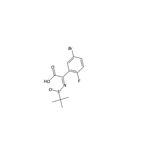 CC(C)(C)[S+]([O-])N=C(C(=O)O)c1cc(Br)ccc1F